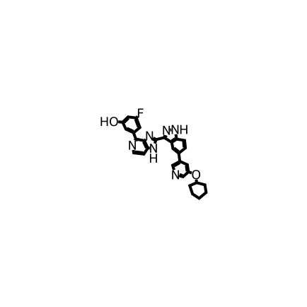 Oc1cc(F)cc(-c2nccc3[nH]c(-c4n[nH]c5ccc(-c6cncc(OC7CCCCC7)c6)cc45)nc23)c1